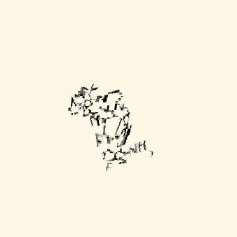 N#Cc1c(N)sc2c(F)ccc(-c3c(Cl)c4c5c(nc(OC[C@@]67CCCN6C[C@H](F)C7)nc5c3F)N(C3CCCN(C(=O)C(F)F)C3)CCO4)c12